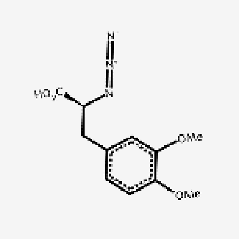 COc1ccc(C[C@H](N=[N+]=[N-])C(=O)O)cc1OC